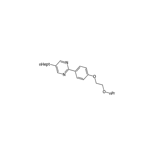 CCCCCCCc1cnc(-c2ccc(OCCOCCC)cc2)nc1